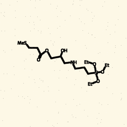 CCO[Si](CCCNCC(O)COC(=O)CCSC)(OCC)OCC